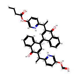 CCCC(=O)Oc1ccc(C(C)C2=C/C(=C3/C=C(C(C)c4ccc(OC=O)cn4)C(=O)c4ccccc43)c3ccccc3C2=O)nc1